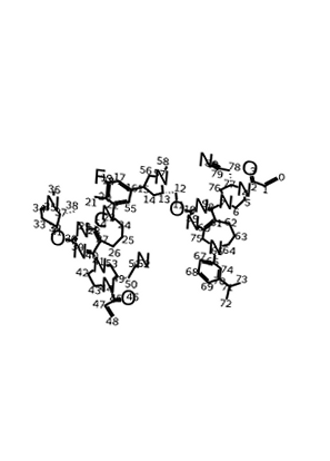 C=CC(=O)N1CCN(c2nc(OC[C@@H]3CC(c4cc(F)c(C)c(N5CCCc6c(nc(O[C@@H]7CCN(C)[C@@H]7C)nc6N6CCN(C(=O)C=C)[C@@H](CC#N)C6)C5)c4)CN3C)nc3c2CCCN(c2cccc(C(C)C)c2)C3)C[C@@H]1CC#N